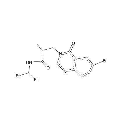 CCC(CC)NC(=O)C(C)Cn1cnc2ccc(Br)cc2c1=O